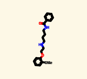 COc1ccccc1OCCNCCCCNC(=O)c1ccccc1